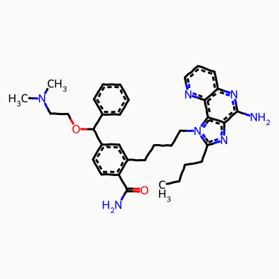 CCCCc1nc2c(N)nc3cccnc3c2n1CCCCc1cc(C(OCCN(C)C)c2ccccc2)ccc1C(N)=O